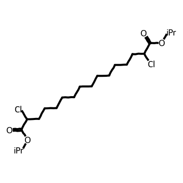 CC(C)OC(=O)C(Cl)CCCCCCCCCCCCC(Cl)C(=O)OC(C)C